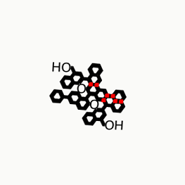 OCc1cc(-c2cccc3ccccc23)c(Oc2ccc3cc(-c4ccccc4)ccc3c2-c2c(Oc3c(-c4cccc5ccccc45)cc(CO)c4ccccc34)ccc3cc(-c4ccccc4)ccc23)c2ccccc12